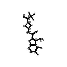 Cc1nnc2sc(C(=O)NC3CN(C(=O)C(C)(C)C)C3)c(N)c2c1C